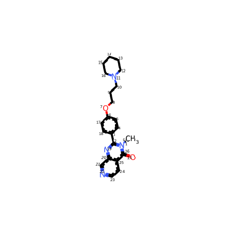 Cn1c(-c2ccc(OCCCN3CCCCC3)cc2)nc2cnccc2c1=O